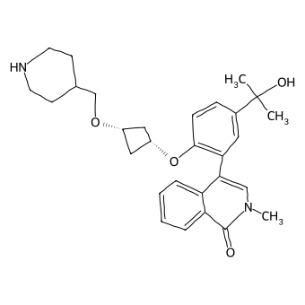 Cn1cc(-c2cc(C(C)(C)O)ccc2O[C@H]2C[C@@H](OCC3CCNCC3)C2)c2ccccc2c1=O